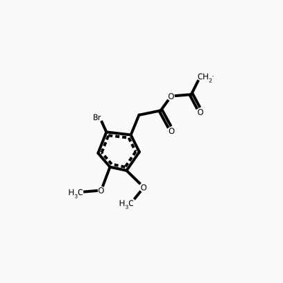 [CH2]C(=O)OC(=O)Cc1cc(OC)c(OC)cc1Br